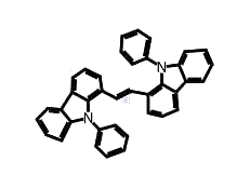 C(=C\c1cccc2c3ccccc3n(-c3ccccc3)c12)/c1cccc2c3ccccc3n(-c3ccccc3)c12